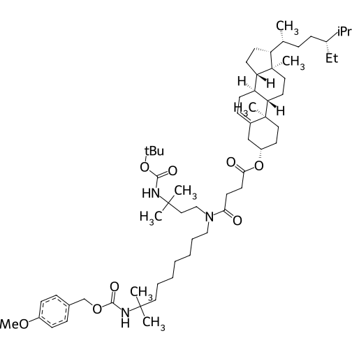 CC[C@H](CC[C@@H](C)[C@H]1CC[C@H]2[C@@H]3CC=C4C[C@@H](OC(=O)CCC(=O)N(CCCCCCCC(C)(C)NC(=O)OCc5ccc(OC)cc5)CCC(C)(C)NC(=O)OC(C)(C)C)CC[C@]4(C)[C@H]3CC[C@]12C)C(C)C